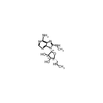 CNC[C@H]1O[C@@H](n2c(NC)nc3c(N)ncnc32)[C@H](O)[C@@H]1O